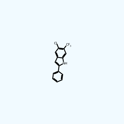 FC(F)(F)c1cc2[nH]c(-c3ccccc3)cc2cc1Cl